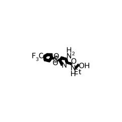 CC[C@@H](CO)NC(=O)c1ncc(S(=O)(=O)c2ccc(C(F)(F)F)cc2)cc1N